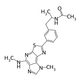 CNc1nc2sc(-c3cccc(CC(C)NC(C)=O)c3)nc2c2c1ncn2C